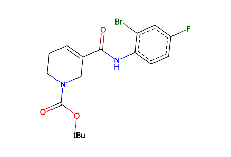 CC(C)(C)OC(=O)N1CCC=C(C(=O)Nc2ccc(F)cc2Br)C1